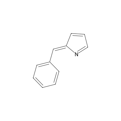 C1=CC(=Cc2ccccc2)N=C1